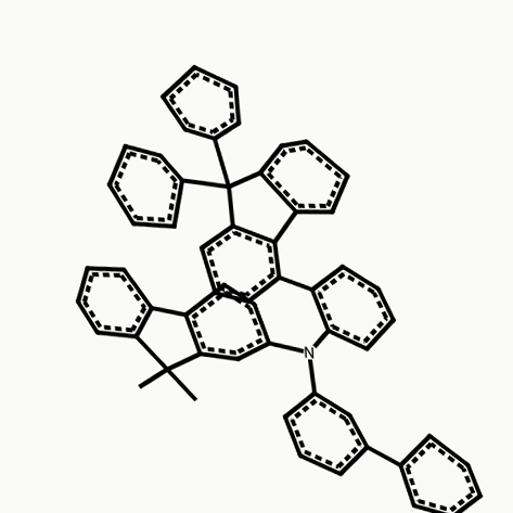 CC1(C)c2ccccc2-c2ccc(N(c3cccc(-c4ccccc4)c3)c3ccccc3-c3cccc4c3-c3ccccc3C4(c3ccccc3)c3ccccc3)cc21